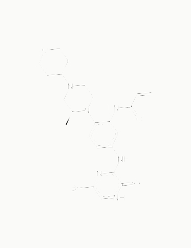 C=CC(=O)Nc1cc(Nc2nc(Br)c[nH]c2=O)ccc1N1CCN(C2CCOCC2)C[C@@H]1C